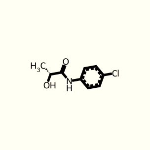 C[C@@H](O)C(=O)Nc1ccc(Cl)cc1